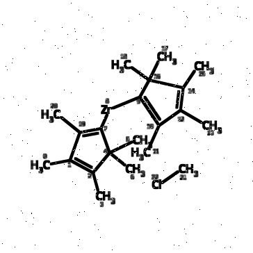 CC1=C(C)C(C)(C)[C]([Zr][C]2=C(C)C(C)=C(C)C2(C)C)=C1C.CCl